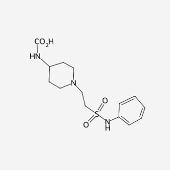 O=C(O)NC1CCN(CCS(=O)(=O)Nc2ccccc2)CC1